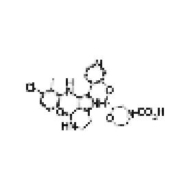 Cc1c(Cl)cccc1Nc1c(-c2ccncc2OC[C@@H]2CN(C(=O)O)CCO2)[nH]c2c1C(=O)NCC2